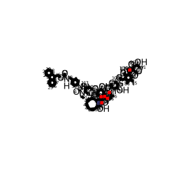 CCN(C(=O)Nc1ccc(CNC(=O)OCC2c3ccccc3-c3ccccc32)cc1)[C@H]1CO[C@@H](O[C@H]2[C@H](O[C@H]3C#CC=CC#C[C@]4(O)CC(=O)C(NC(=O)OC)=C3/C4=C\CSSC(C)(C)C)O[C@H](C)[C@@H](NO[C@H]3C[C@H](O)[C@H](SC(=O)c4c(C)c(I)c(O[C@@H]5O[C@@H](C)[C@H](O)[C@@H](OC)[C@H]5O)c(OC)c4OC)[C@@H](C)O3)[C@@H]2O)C[C@@H]1OC